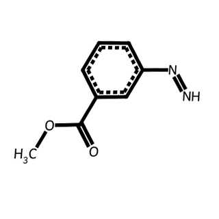 COC(=O)c1cccc(N=N)c1